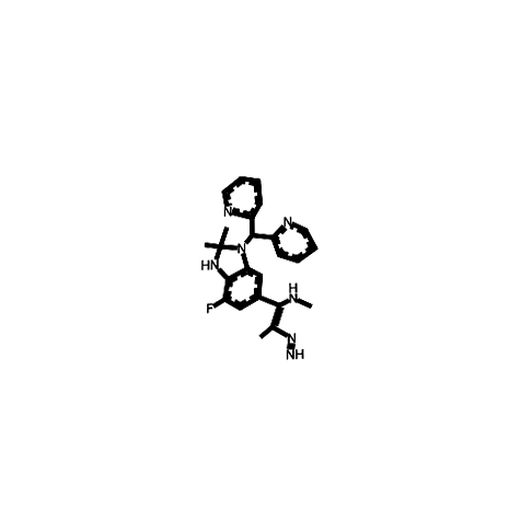 CN/C(=C(/C)N=N)c1cc(F)c2c(c1)N(C(c1ccccn1)c1ccccn1)C(C)(C)N2